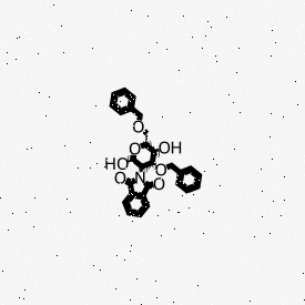 O=C1c2ccccc2C(=O)N1[C@@H]1[C@@H](OCc2ccccc2)[C@H](O)[C@@H](COCc2ccccc2)O[C@H]1O